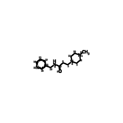 CN1CCN(CCC(=O)NCc2cccnc2)CC1